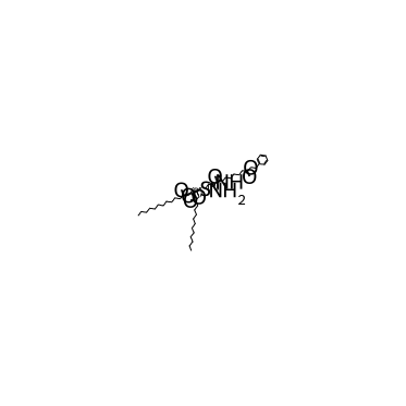 CCCCCCCCCCCC(=O)OC[C@H](CSC[C@H](N)C(=O)NCCCCCC(=O)OCc1ccccc1)OC(=O)CCCCCCCCCCC